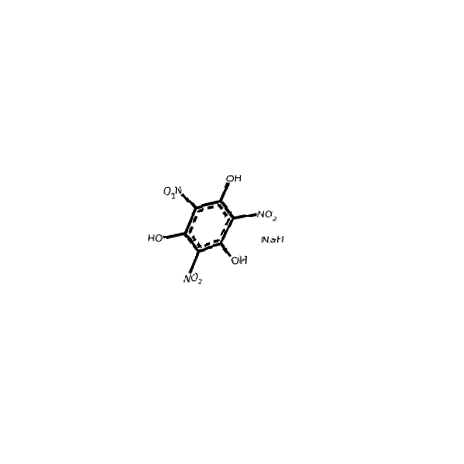 O=[N+]([O-])c1c(O)c([N+](=O)[O-])c(O)c([N+](=O)[O-])c1O.[NaH]